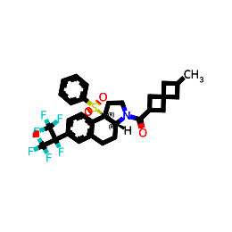 CC1CC2(C1)CC(C(=O)N1CC[C@@]3(S(=O)(=O)c4ccccc4)c4ccc(C(F)(C(F)(F)F)C(F)(F)F)cc4CC[C@@H]13)C2